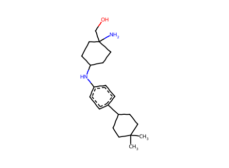 CC1(C)CCC(c2ccc(NC3CCC(N)(CO)CC3)cc2)CC1